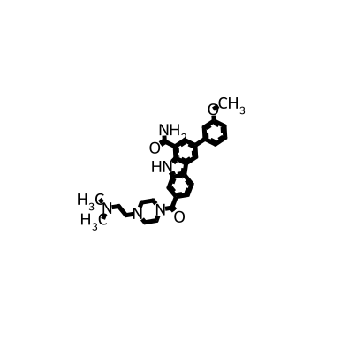 COc1cccc(-c2cc(C(N)=O)c3[nH]c4cc(C(=O)N5CCN(CCN(C)C)CC5)ccc4c3c2)c1